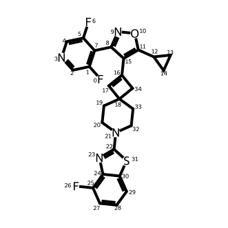 Fc1cncc(F)c1-c1noc(C2CC2)c1C1=CC2(CCN(c3nc4c(F)cccc4s3)CC2)C1